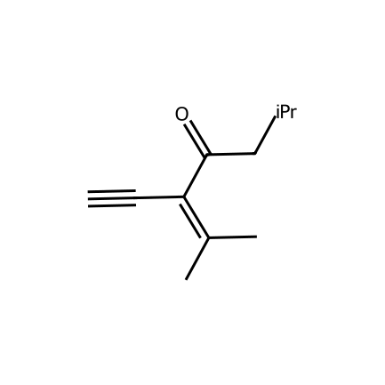 C#CC(C(=O)CC(C)C)=C(C)C